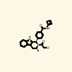 C[C@H]1Cc2c([nH]c3ccccc23)[C@@H](c2ccc(C(=O)NC34CC(C3)C4)cc2)N1C(=O)CCl